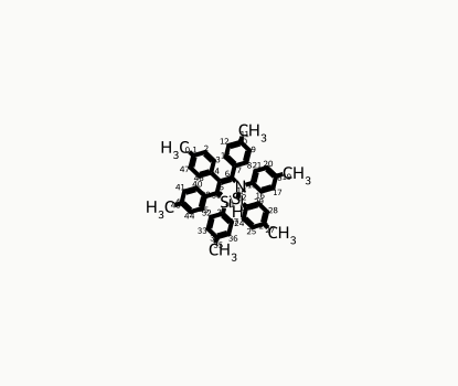 Cc1ccc(C2=C(c3ccc(C)cc3)N(c3ccc(C)cc3)[SiH](c3ccc(C)cc3)[Si](c3ccc(C)cc3)=C2c2ccc(C)cc2)cc1